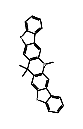 CN1c2cc3c(cc2C(C)(C)c2cc4sc5ccccc5c4cc21)sc1ccccc13